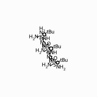 CC(C)(C)c1cc(N)c(SCCN)c(NC(=O)c2cc(C(=O)Nc3cc(C(C)(C)C)cc(NC(=O)c4cc(C(=O)Nc5cc(C(C)(C)C)cc(N)c5SCCN)ncn4)c3SCCN)ncn2)c1